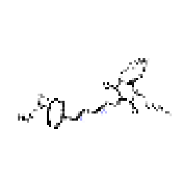 CCN1C(=O)C(=C/C=C/C=C/c2ccc(N(C)C)cc2)C(=O)N(CC)C1=S